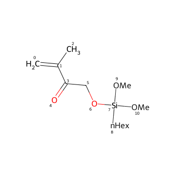 C=C(C)C(=O)CO[Si](CCCCCC)(OC)OC